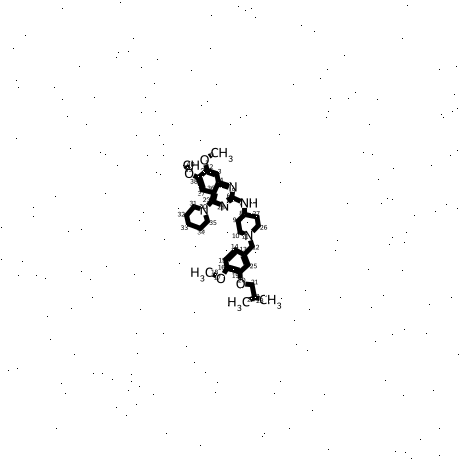 COc1cc2nc(NC3CCN(Cc4ccc(OC)c(OCC(C)C)c4)CC3)nc(N3CCCCC3)c2cc1OC